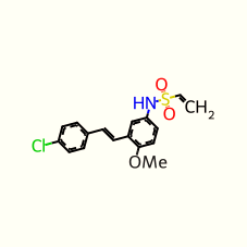 C=CS(=O)(=O)Nc1ccc(OC)c(C=Cc2ccc(Cl)cc2)c1